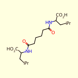 CC(C)CC(NC(=O)CCCCC(=O)NC(CC(C)C)C(=O)O)C(=O)O